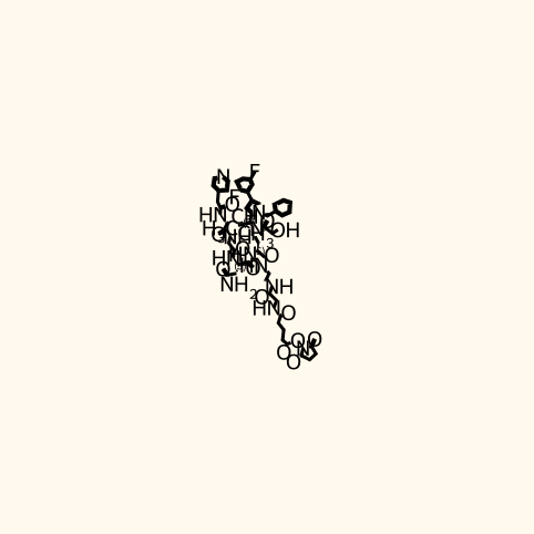 CC(C)(C)[C@H](c1cc(-c2cc(F)ccc2F)cn1Cc1ccccc1)N(CC[C@H](NC(=O)[C@H](CC(N)=O)NC(=O)CNC(=O)CNC(=O)Cc1ccncc1)C(=O)NCCNC(=O)CNC(=O)CCCC(=O)ON1C(=O)CCC1=O)C(=O)CO